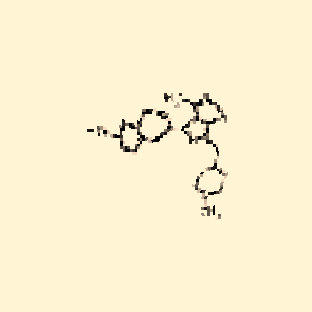 CN1CCC(Cn2nc(-c3ccc4cc(O)ccc4c3)c3c(N)ncnc32)CC1